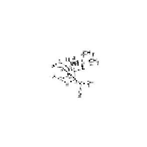 CC(C)(C)CC1C2(O)CC3CC(C2)CC1(C(=O)O)C3